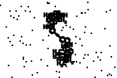 COC(=O)N[C@H](C(=O)N1[C@@H](C)CC[C@H]1c1nc2ccc3cc(C#Cc4ccc5[nH]c([C@@H]6CC[C@H](C)N6C(=O)[C@H](C(C)C)N(C)C(=O)O)nc5c4)ccc3c2[nH]1)C(C)C